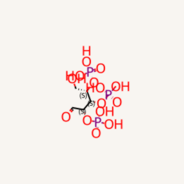 O=C[C@@H](OP(=O)(O)O)[C@@H](OP(=O)(O)O)[C@H](CO)OP(=O)(O)O